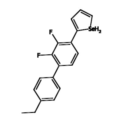 CCc1ccc(-c2ccc(C3=CC=C[SeH2]3)c(F)c2F)cc1